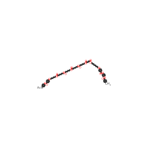 CC(=O)Oc1ccc(OC(=O)c2ccc(OCCCCCCOC(=O)CCCCCOC(=O)CCCCCOC(=O)CCCCCOC(=O)CCCCCOC(=O)CCC(=O)OCCCCCCCCOc3ccc(C(=O)Oc4ccc(OC(=O)c5ccc(C)cc5)cc4)cc3)cc2)cc1